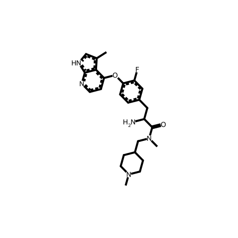 Cc1c[nH]c2nccc(Oc3ccc(CC(N)C(=O)N(C)CC4CCN(C)CC4)cc3F)c12